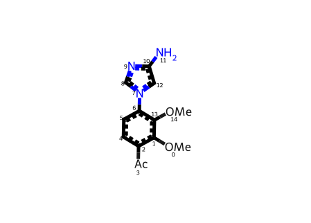 COc1c(C(C)=O)ccc(-n2cnc(N)c2)c1OC